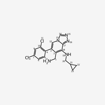 NCc1c(-c2ccc(Cl)cc2Cl)cn2cnnc2c1NCC1CC1